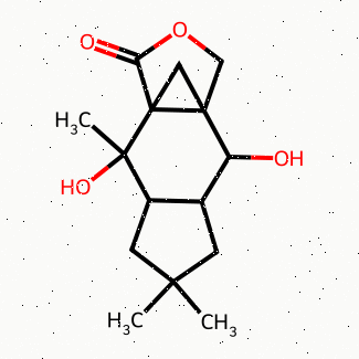 CC1(C)CC2C(C1)C(C)(O)C13CC1(COC3=O)C2O